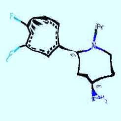 CC(C)N1CC[C@@H](N)C[C@H]1c1ccc(F)c(F)c1